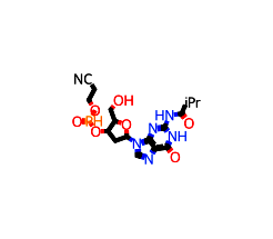 CC(C)C(=O)Nc1nc2c(ncn2C2CC(O[PH](=O)OCCC#N)C(CO)O2)c(=O)[nH]1